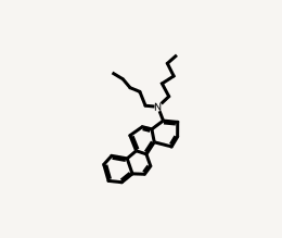 CCCCCN(CCCCC)c1cccc2c1ccc1c3ccccc3ccc21